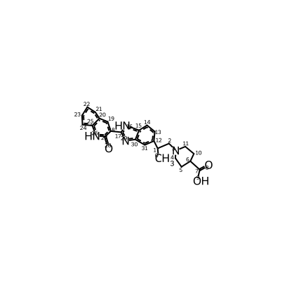 CC(CN1CCC(C(=O)O)CC1)c1ccc2[nH]c(-c3cc4ccccc4[nH]c3=O)nc2c1